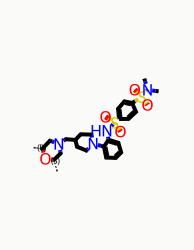 C[C@@H]1CN(CC2CCN(c3ccccc3NS(=O)(=O)c3ccc(S(=O)(=O)N(C)C)cc3)CC2)C[C@H](C)O1